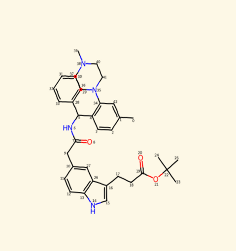 Cc1ccc(C(NC(=O)Cc2ccc3[nH]cc(CCC(=O)OC(C)(C)C)c3c2)c2ccccc2)c(N2CCN(C)CC2)c1